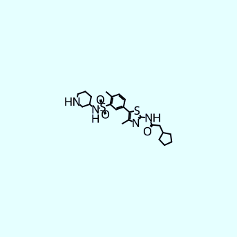 Cc1ccc(-c2sc(NC(=O)CC3CCCC3)nc2C)cc1S(=O)(=O)NC1CCCNC1